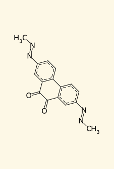 CN=Nc1ccc2c(c1)C(=O)C(=O)c1cc(N=NC)ccc1-2